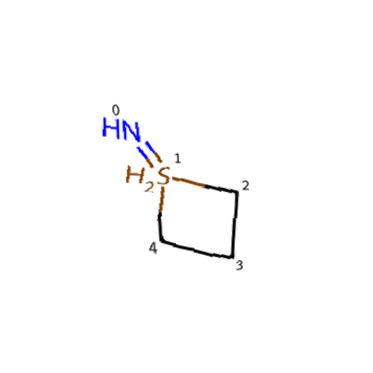 N=[SH2]1CCC1